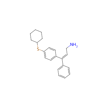 NCC=C(c1ccccc1)c1ccc(SC2CCCCC2)cc1